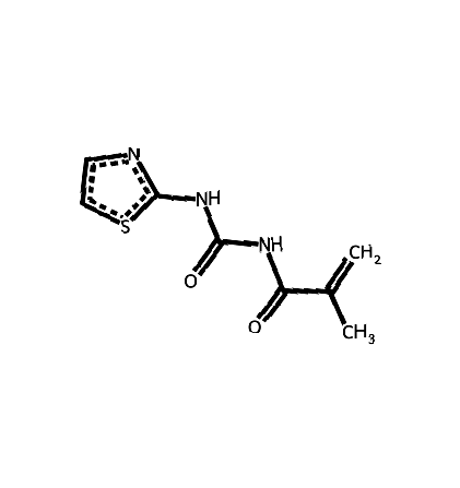 C=C(C)C(=O)NC(=O)Nc1nccs1